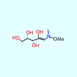 CON(C)C=C(O)[C@H](O)[C@@H](O)CO